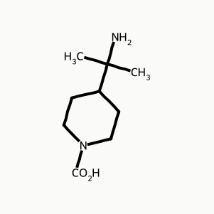 CC(C)(N)C1CCN(C(=O)O)CC1